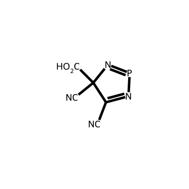 N#CC1=NP=NC1(C#N)C(=O)O